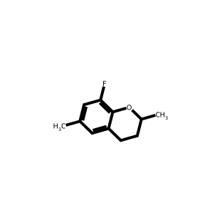 Cc1cc(F)c2c(c1)CCC(C)O2